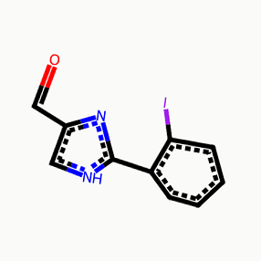 O=Cc1c[nH]c(-c2ccccc2I)n1